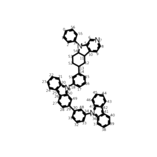 c1ccc(N2c3cnccc3C3CC(c4cccc(-n5c6ccccc6c6ccc(-c7cccc(-n8c9ccccc9c9ccccc98)c7)cc65)c4)CCC32)cc1